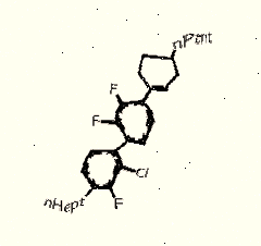 CCCCCCCc1ccc(-c2ccc(C3=CCC(CCCCC)CC3)c(F)c2F)c(Cl)c1F